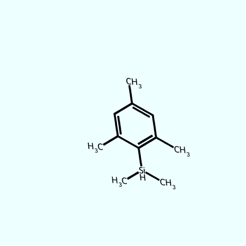 Cc1cc(C)c([SiH](C)C)c(C)c1